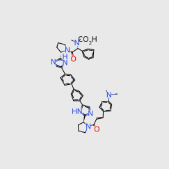 CN(C)c1ccc(C=CC(=O)N2CCC[C@H]2c2ncc(-c3ccc(-c4ccc(-c5cnc([C@@H]6CCCN6C(=O)[C@@H](c6ccccc6)N(C)C(=O)O)[nH]5)cc4)cc3)[nH]2)cc1